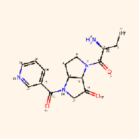 CC(C)C[C@H](N)C(=O)N1CCC2C1C(=O)CN2C(=O)c1cccnc1